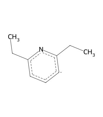 CCc1[c]ccc(CC)n1